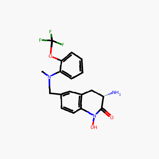 CN(Cc1ccc2c(c1)C[C@H](N)C(=O)N2O)c1ccccc1OC(F)(F)F